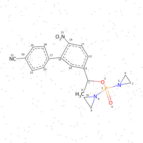 CC(OP(=O)(N1CC1)N1CC1)c1ccc([N+](=O)[O-])c(-c2ccc(C#N)cc2)c1